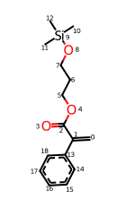 C=C(C(=O)OCCCO[Si](C)(C)C)c1ccccc1